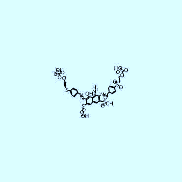 Nc1c(N=Nc2ccc(S(=O)(=O)CCOS(=O)(=O)O)cc2)c(S(=O)(=O)O)cc2cc(SOOO)c(N=Nc3ccc(SC#COOS(=O)(=O)O)cc3)c(O)c12